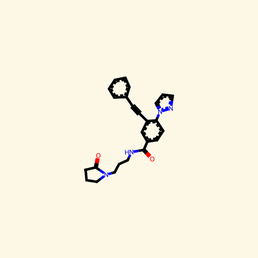 O=C(NCCCN1CCCC1=O)c1ccc(-n2cccn2)c(C#Cc2ccccc2)c1